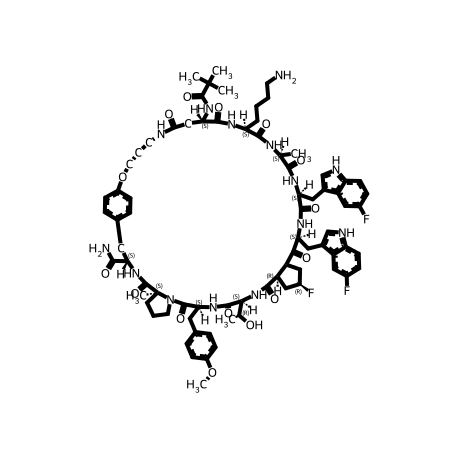 COc1ccc(C[C@@H]2NC(=O)[C@H]([C@@H](C)O)NC(=O)[C@@H]3C[C@H](F)CC3C(=O)[C@H](Cc3c[nH]c4ccc(F)cc34)NC(=O)[C@H](Cc3c[nH]c4ccc(F)cc34)NC(=O)[C@H](C)NC(=O)[C@H](CCCCN)NC(=O)[C@@H](NC(=O)C(C)(C)C)CC(=O)NCCCOc3ccc(cc3)C[C@@H](C(N)=O)NC(=O)[C@]3(C)CCCN3C2=O)cc1